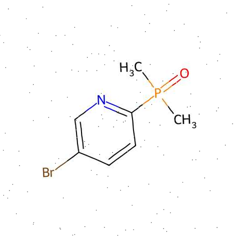 CP(C)(=O)c1ccc(Br)cn1